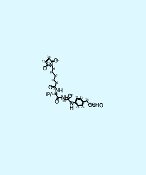 CC(C)[C@H](NC(=O)CCCCCN1C(=O)C=CC1=O)C(=O)NCC(=O)Nc1ccc(COC=O)cc1